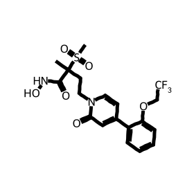 CC(CCn1ccc(-c2ccccc2OCC(F)(F)F)cc1=O)(C(=O)NO)S(C)(=O)=O